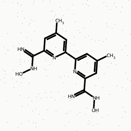 Cc1cc(C(=N)NO)nc(-c2cc(C)cc(C(=N)NO)n2)c1